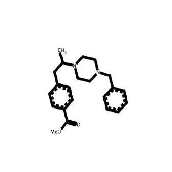 COC(=O)c1ccc(CC(C)N2CCN(Cc3ccccc3)CC2)cc1